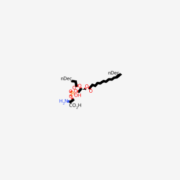 CCCCCCCCCC/C=C\CCCCCCCCCC(=O)OC[C@H](COP(=O)(O)OC[C@H](N)C(=O)O)OC(=O)CCCCCCCCCCCC